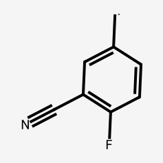 [CH2]c1ccc(F)c(C#N)c1